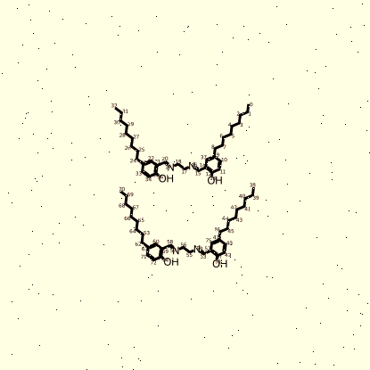 CCCCCCCCCc1ccc(O)c(C=NCCN=Cc2cc(CCCCCCCCC)ccc2O)c1.CCCCCCCCCc1ccc(O)c(C=NCCN=Cc2cc(CCCCCCCCC)ccc2O)c1